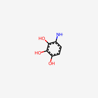 [NH]c1ccc(O)c(O)c1O